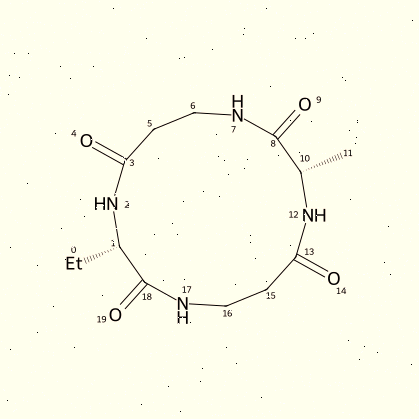 CC[C@@H]1NC(=O)CCNC(=O)[C@H](C)NC(=O)CCNC1=O